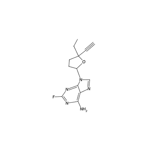 C#CC1(CC)CCC(n2cnc3c(N)nc(F)nc32)O1